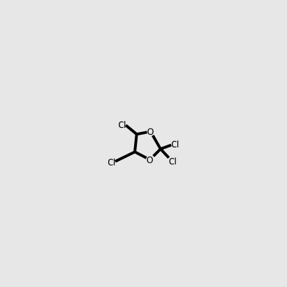 ClC1OC(Cl)(Cl)OC1Cl